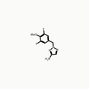 COc1c(F)cc(Cn2ncc(N)n2)cc1F